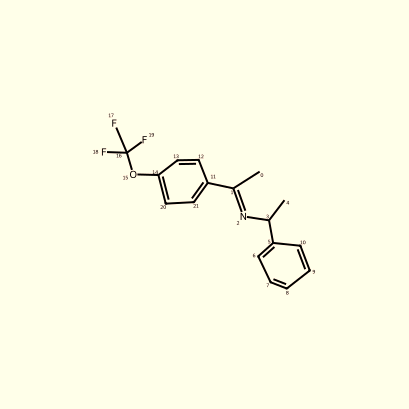 C/C(=N\C(C)c1ccccc1)c1ccc(OC(F)(F)F)cc1